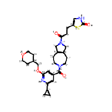 O=C(CCc1c[nH]c(=O)s1)N1CC2CCN(C(=O)c3cc(OCC4CCOCC4)nc(C4CC4)c3)CCC2C1